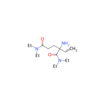 C=CC(N)(CCC(=O)N(CC)CC)C(=O)N(CC)CC